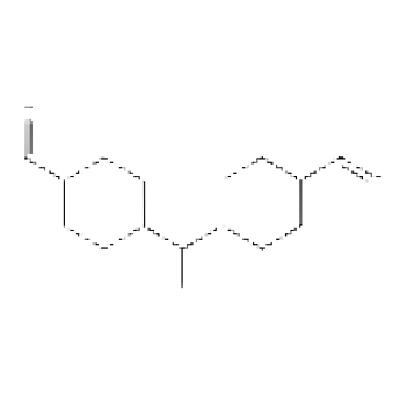 O=CC1CCC(C(F)C2CCC(C=O)CC2)CC1